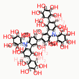 Bc1c(O)c(O)c(O)c(O)c1-c1c(B)c(O)c2c(c1O)c1c(O)c(-c3c(B)c(O)c4c(c3O)c3c(O)c(-c5c(O)c(O)c(O)c(O)c5O)c(B)c(O)c3n4-c3c(O)c(O)c(O)c(O)c3O)c(B)c(O)c1n2-c1c(O)c(O)c(O)c(O)c1O